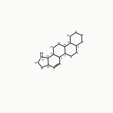 C1=CC2C3CCC4CCCCC4C3CCC2C2NCCC12